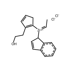 C[CH]=[Zr+2]([C]1=C(CCO)C=CC1)[CH]1C=Cc2ccccc21.[Cl-].[Cl-]